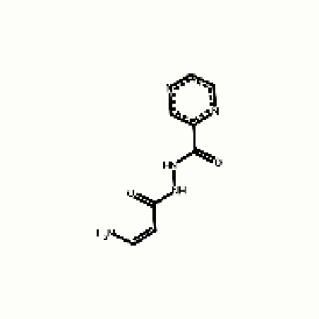 N/C=C\C(=O)NNC(=O)c1cnccn1